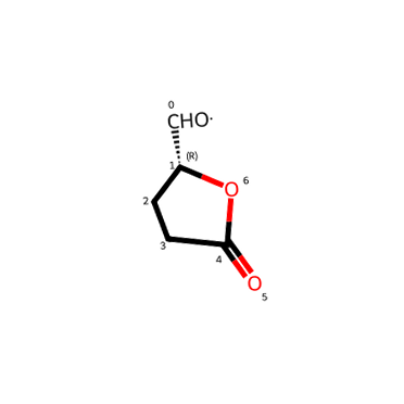 O=[C][C@H]1CCC(=O)O1